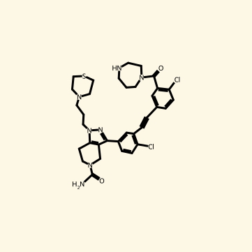 NC(=O)N1CCc2c(c(-c3ccc(Cl)c(C#Cc4ccc(Cl)c(C(=O)N5CCCNCC5)c4)c3)nn2CCCN2CCSCC2)C1